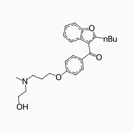 CCCCc1oc2ccccc2c1C(=O)c1ccc(OCCCN(C)CCO)cc1